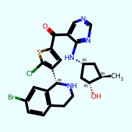 C[C@@H]1C[C@@H](Nc2ncncc2C(=O)c2cc([C@@H]3NCCc4ccc(Br)cc43)c(Cl)s2)C[C@H]1O